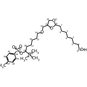 CCCCCCCCCCCCCCCCCC1OCC(COCCCCCC(OS(=O)(=O)c2ccc(C)cc2)[N+](C)(C)C)O1